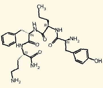 CCC[C@@H](NC(=O)[C@@H](N)Cc1ccc(O)cc1)C(=O)N[C@@H](Cc1ccccc1)C(=O)N[C@@H](CCCN)C(N)=O